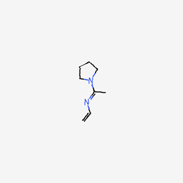 C=C/N=C(\C)N1CCCC1